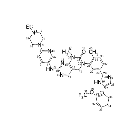 CCN1CCN(c2ccc(Nc3ncc4c(n3)N(C)C(=O)N(c3cc(-c5ncc(C6=C(OC(F)(F)F)C=CCC6)[nH]5)ccc3C)C4)cn2)CC1